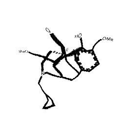 COc1ccc2c(c1O)[C@@]13CCN(CC4CC4)C(C2)C1CC(OC)C(=O)C3